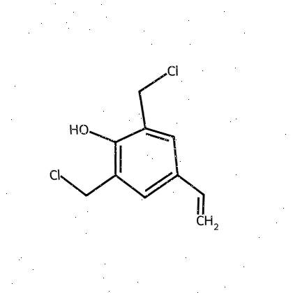 C=Cc1cc(CCl)c(O)c(CCl)c1